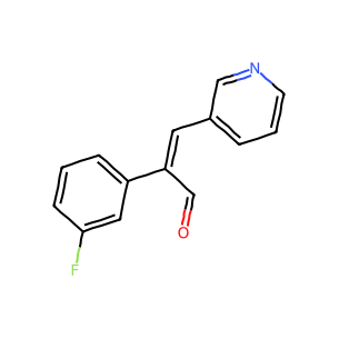 O=C/C(=C\c1cccnc1)c1cccc(F)c1